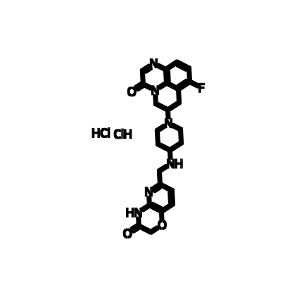 Cl.Cl.O=C1COc2ccc(CNC3CCN(C4Cc5c(F)ccc6ncc(=O)n(c56)C4)CC3)nc2N1